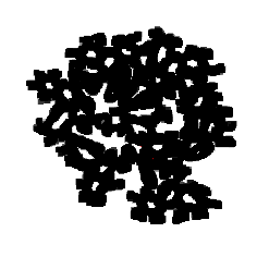 O=C(OCCC(COC(=O)OOC(=O)c1ccccc1-c1ccccc1)C(COC(=O)OOC(=O)c1ccccc1-c1ccccc1)C(COC(=O)OOC(=O)c1ccccc1-c1ccccc1)C(CCOC(=O)OOC(=O)c1ccccc1-c1ccccc1)COC(=O)OOC(=O)c1ccccc1-c1ccccc1)OOC(=O)c1ccccc1-c1ccccc1